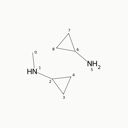 CNC1CC1.NC1CC1